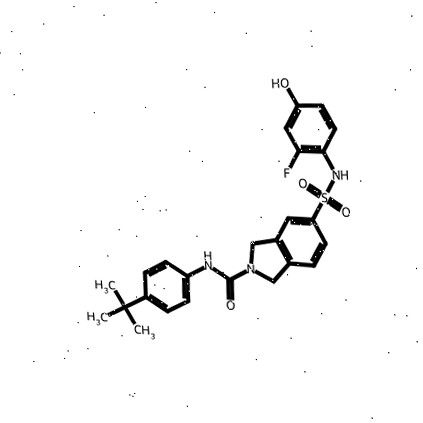 CC(C)(C)c1ccc(NC(=O)N2Cc3ccc(S(=O)(=O)Nc4ccc(O)cc4F)cc3C2)cc1